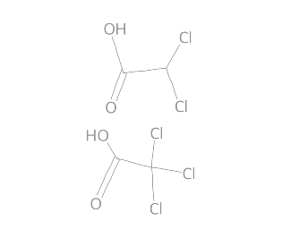 O=C(O)C(Cl)(Cl)Cl.O=C(O)C(Cl)Cl